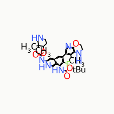 Cc1c(-c2cc3cc(NC(=O)OC4CCNCC4(C)C)ncc3c(NC(=O)OC(C)(C)C)c2F)cnc2c1NCCO2